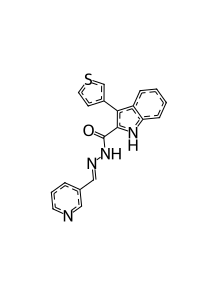 O=C(NN=Cc1cccnc1)c1[nH]c2ccccc2c1-c1ccsc1